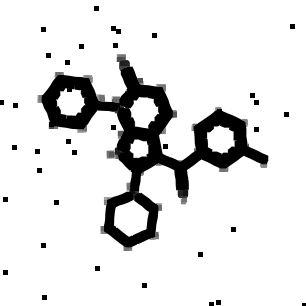 Cc1cccc(C(=O)c2c(N3CCCCC3)sc3c2ccc(=O)n3-c2ccccc2)c1